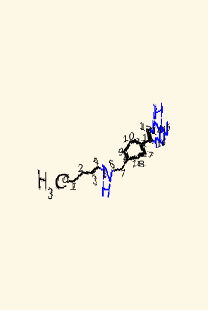 CCCCCNCCc1ccc(-c2c[nH]nn2)cc1